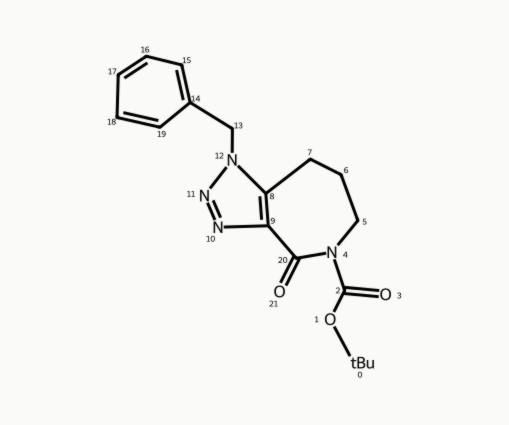 CC(C)(C)OC(=O)N1CCCc2c(nnn2Cc2ccccc2)C1=O